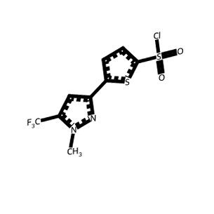 Cn1nc(-c2ccc(S(=O)(=O)Cl)s2)cc1C(F)(F)F